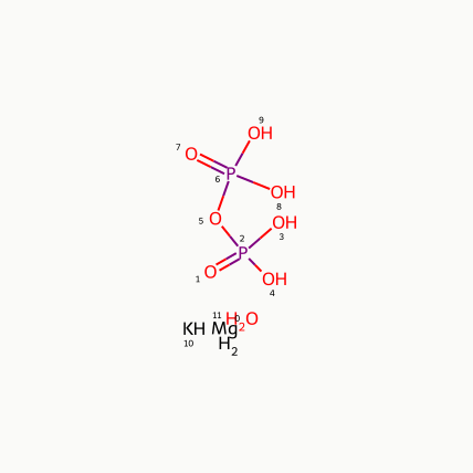 O.O=P(O)(O)OP(=O)(O)O.[KH].[MgH2]